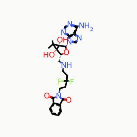 CC1(C)[C@]2(O)[C@@H](CNCCC(F)(F)CCN3C(=O)c4ccccc4C3=O)O[C@@H](n3cnc4c(N)ncnc43)[C@]12O